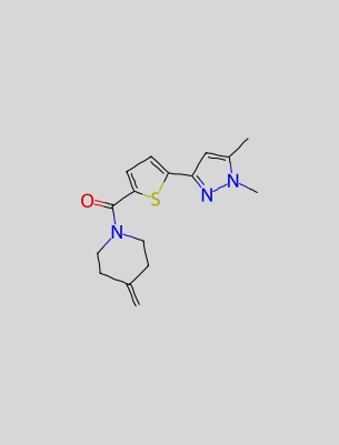 C=C1CCN(C(=O)c2ccc(-c3cc(C)n(C)n3)s2)CC1